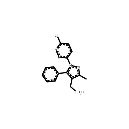 Cc1nn(-c2ccc(Cl)nn2)c(-c2ccccc2)c1CC(=O)O